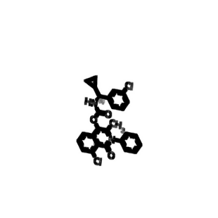 Cc1c(OC(=O)N[C@H](c2cccc(Cl)c2)C2CC2)c2cccc(Cl)c2c(=O)n1-c1ccccc1